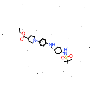 CCOC(=O)C1CCN(c2ccc(NC[C@H]3CC[C@H](NS(=O)(=O)C(C)(C)C)CC3)cc2)CC1